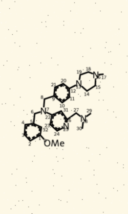 COc1cccc(CN(Cc2ccc(N3CCN(C)CC3)cc2)c2ccnc(CN(C)C)c2)c1